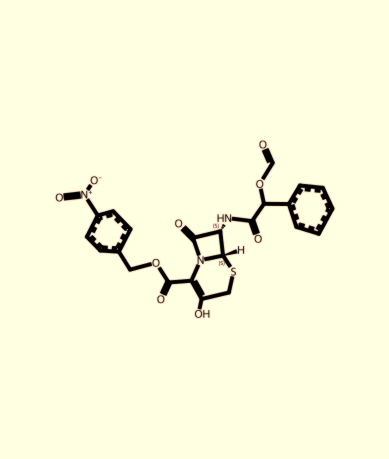 O=COC(C(=O)N[C@H]1C(=O)N2C(C(=O)OCc3ccc([N+](=O)[O-])cc3)=C(O)CS[C@@H]12)c1ccccc1